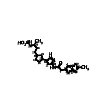 Cc1nn2cc(CC(=O)Nc3cc(C4CCC(CC[C@H](C)NC(=O)O)C4)[nH]n3)nc2s1